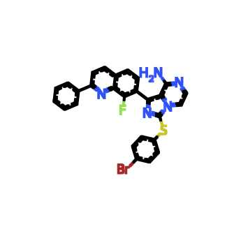 Nc1nccn2c(Sc3ccc(Br)cc3)nc(-c3ccc4ccc(-c5ccccc5)nc4c3F)c12